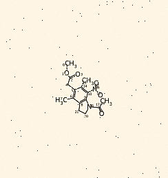 COC(=O)Cc1c(C)c2c(c([N+](=O)[O-])c1C)N(C(C)=O)CC2